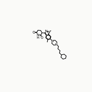 Cc1cc2c(C3CCC(=O)NC3=O)nn(C)c2cc1N1CCN(CCCCC2CCCCC2)CC1